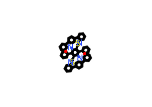 N#Cc1c(-c2ccccc2)c(-n2c3ccccc3c3ccc4c5ccccc5sc4c32)c(C#N)c(-c2ccccc2)c1-n1c2ccccc2c2ccc3c4ccccc4sc3c21